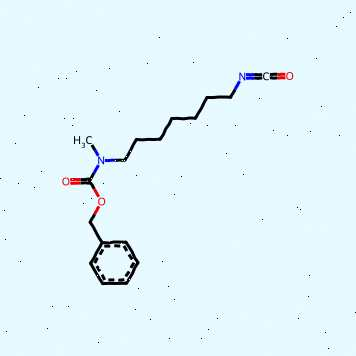 CN(CCCCCCCN=C=O)C(=O)OCc1ccccc1